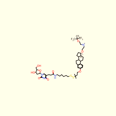 CN(CCO[C@H]1CCC2C3CCc4cc(OCCC(C)(C)SSCCCCCCNC(=O)CCc5cn(C6CC(O)C(CO)O6)c(=O)[nH]c5=O)ccc4C3CC[C@@]21C)CCOC(C(F)(F)F)(C(F)(F)F)C(F)(F)F